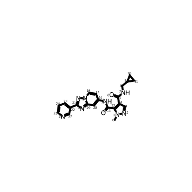 Cn1ncc(C(=O)NCC2CC2)c1C(=O)Nc1ccn2nc(-c3cccnc3)nc2c1